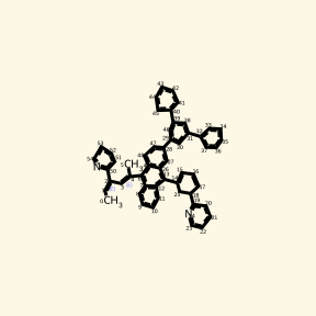 C/C=C(\C=C(/C)c1c2ccccc2c(C2=CC=CC(c3ccccn3)C2)c2cc(-c3cc(-c4ccccc4)cc(-c4ccccc4)c3)ccc12)c1ccccn1